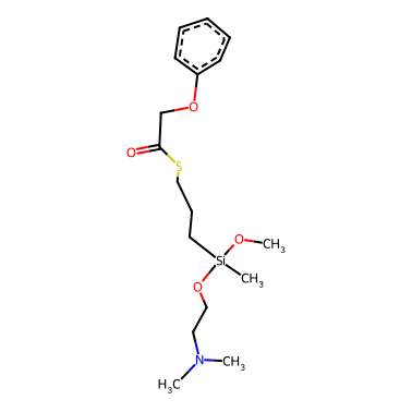 CO[Si](C)(CCCSC(=O)COc1ccccc1)OCCN(C)C